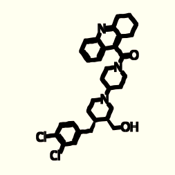 O=C(c1c2c(nc3ccccc13)CCCC2)N1CCC(N2CC[C@H](Cc3ccc(Cl)c(Cl)c3)[C@H](CO)C2)CC1